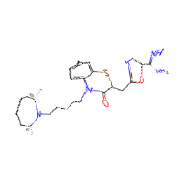 C[C@@H]1CCC[C@H](C)N1CCCCCN1C(=O)C(Cc2ncc(C(=N)N)o2)Sc2ccccc21